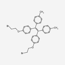 Cc1ccc(/C(=C(\c2ccc(C)cc2)c2ccc(OCCBr)cc2)c2ccc(OCCBr)cc2)cc1